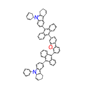 C1=CCC(n2c3c(c4cc(-c5c6ccccc6c(-c6ccc7c(c6)oc6c(-c8c9ccccc9c(-c9ccc%10c(c9)c9c(n%10-c%10ccccc%10)C=CCC9)c9ccccc89)cccc67)c6ccccc56)ccc42)C=CCC3)C=C1